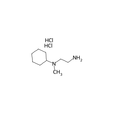 CN(CCN)C1CCCCC1.Cl.Cl